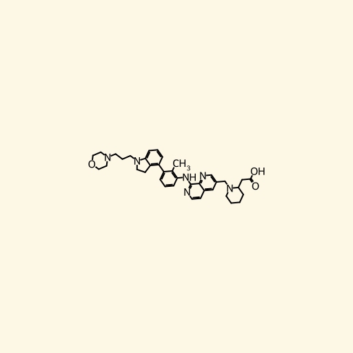 Cc1c(Nc2nccc3cc(CN4CCCCC4CC(=O)O)cnc23)cccc1-c1cccc2c1CCN2CCCN1CCOCC1